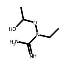 CCN(OC(C)O)C(=N)N